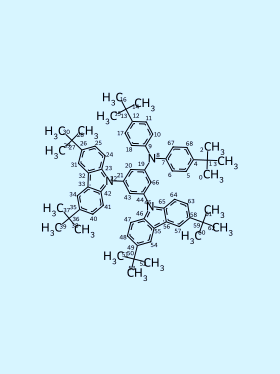 CC(C)(C)c1ccc(N(c2ccc(C(C)(C)C)cc2)c2cc(-n3c4ccc(C(C)(C)C)cc4c4cc(C(C)(C)C)ccc43)cc(-n3c4ccc(C(C)(C)C)cc4c4cc(C(C)(C)C)ccc43)c2)cc1